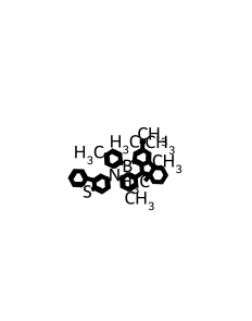 Cc1ccc2c(c1)N(c1ccc3sc4ccccc4c3c1)c1cc(C)cc3c1B2c1cc(C(C)(C)C)cc2c1C3C1(C)CCCCC21C